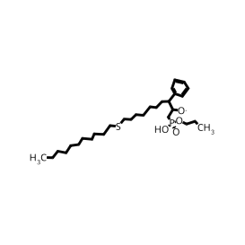 CCCCCCCCCCCSCCCCCCCC(c1ccccc1)C([O])CP(=O)(O)OCCC